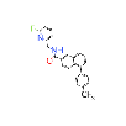 O=C(NCc1cccc(F)n1)c1ccc2c(-c3ccc(C(F)(F)F)cc3)cccc2c1